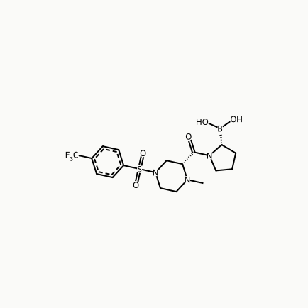 CN1CCN(S(=O)(=O)c2ccc(C(F)(F)F)cc2)C[C@@H]1C(=O)N1CCC[C@H]1B(O)O